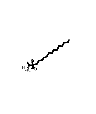 CCCCCCCCCCCCCCC(Br)(C(=O)O)C(C)N